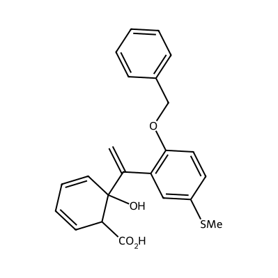 C=C(c1cc(SC)ccc1OCc1ccccc1)C1(O)C=CC=CC1C(=O)O